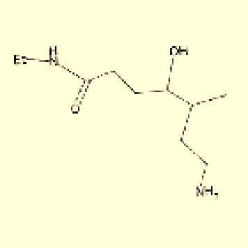 CCNC(=O)CCC(O)C(C)CCN